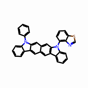 c1ccc(-n2c3ccccc3c3cc4cc5c6ccccc6n(-c6cccc7scnc67)c5cc4cc32)cc1